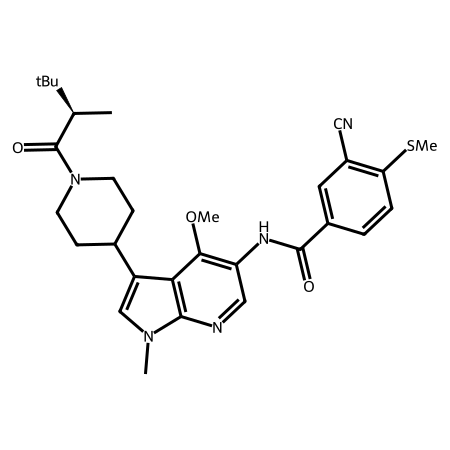 COc1c(NC(=O)c2ccc(SC)c(C#N)c2)cnc2c1c(C1CCN(C(=O)[C@H](C)C(C)(C)C)CC1)cn2C